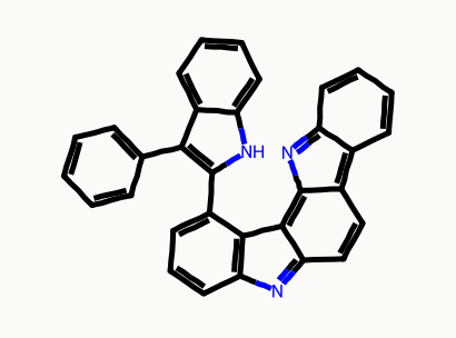 c1ccc(-c2c(-c3cccc4c3-c3c5c(ccc3=N4)=c3ccccc3=N5)[nH]c3ccccc23)cc1